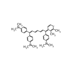 CC1=C(C)C(=C(C=CC=CC=C(c2ccc(N(C)C)cc2)c2ccc(N(C)C)cc2)c2ccc(N(C)C)cc2)C=C[C]1